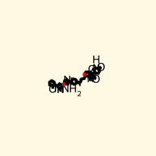 Cn1c(=O)n(C2CCC(=O)NC2=O)c2cccc(CCCN3CCC(n4cc(-c5cc(-c6ccccc6O)nnc5N)cn4)CC3)c21